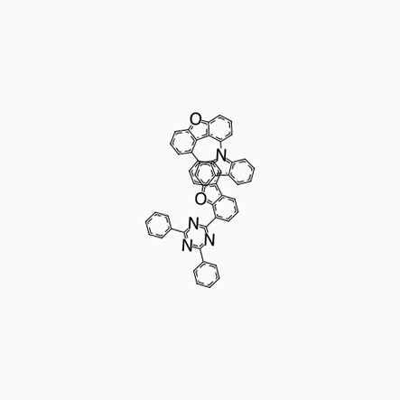 c1ccc(-c2nc(-c3ccccc3)nc(-c3cccc4c3oc3cc(-c5cccc6oc7cccc(-n8c9ccccc9c9ccccc98)c7c56)ccc34)n2)cc1